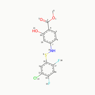 COC(=O)c1ccc(NSc2cc(Cl)c(F)cc2F)cc1O